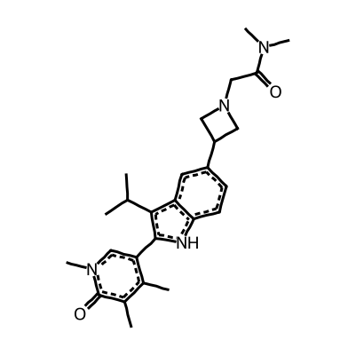 Cc1c(-c2[nH]c3ccc(C4CN(CC(=O)N(C)C)C4)cc3c2C(C)C)cn(C)c(=O)c1C